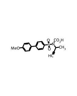 C#CC(C)N(C(=O)O)S(=O)(=O)c1ccc(-c2ccc(OC)cc2)cc1